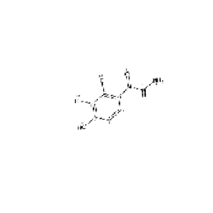 NNC(=O)c1ccc(O)c(Cl)c1Cl